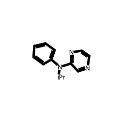 CC(C)N(c1ccccc1)c1cnccn1